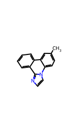 Cc1ccc2c(c1)c1ccccc1c1nccn21